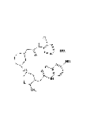 CC1CCCCN1CC(=O)Nc1ccc([N+](=O)[O-])cc1Cl.CC1CCCN(CC(=O)Nc2ccc([N+](=O)[O-])cc2Cl)C1